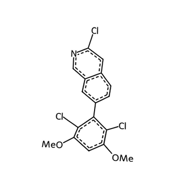 COc1cc(OC)c(Cl)c(-c2ccc3cc(Cl)ncc3c2)c1Cl